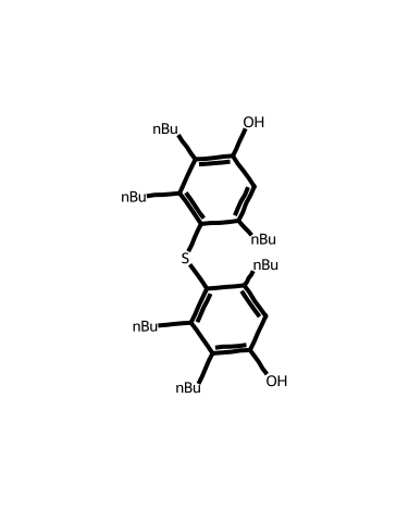 CCCCc1cc(O)c(CCCC)c(CCCC)c1Sc1c(CCCC)cc(O)c(CCCC)c1CCCC